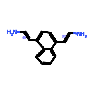 N/C=C/c1ccc(/C=C/N)c2ccccc12